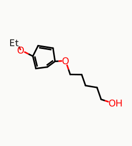 CCOc1ccc(OCCCCCO)cc1